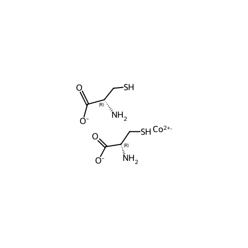 N[C@@H](CS)C(=O)[O-].N[C@@H](CS)C(=O)[O-].[Co+2]